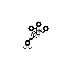 COc1ccc(/C=C/C(=O)NC(COCc2ccccc2)C(=O)NC(c2ccccc2)c2ccccc2)cc1OC